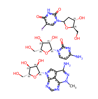 CN1N=C(N)c2cn([C@@H]3O[C@H](CO)[C@@H](O)[C@H]3O)c3ncnc1c23.Nc1ccn([C@@H]2O[C@H](CO)[C@@H](O)[C@@H]2O)c(=O)n1.O=c1[nH]c(=O)n(C2C[C@H](O)[C@@H](CO)O2)cc1I